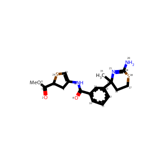 COC(=O)C1CC(NC(=O)c2cccc(C3(C)CCSC(N)=N3)c2)=CS1